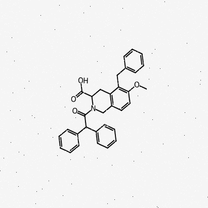 COc1ccc2c(c1Cc1ccccc1)CC(C(=O)O)N(C(=O)C(c1ccccc1)c1ccccc1)C2